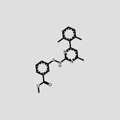 COC(=O)c1cccc(SNc2nc(C)cc(-c3c(C)cccc3C)n2)c1